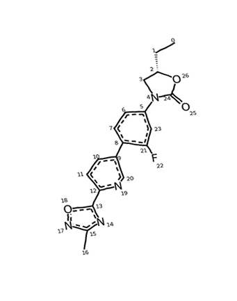 CC[C@H]1CN(c2ccc(-c3ccc(-c4nc(C)no4)nc3)c(F)c2)C(=O)O1